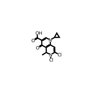 CC1c2c(n(C3CC3)cc(C(=O)O)c2=O)C=C(Cl)N1Cl